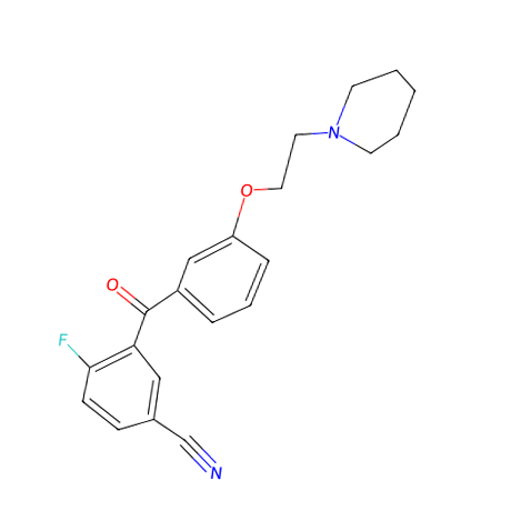 N#Cc1ccc(F)c(C(=O)c2cccc(OCCN3CCCCC3)c2)c1